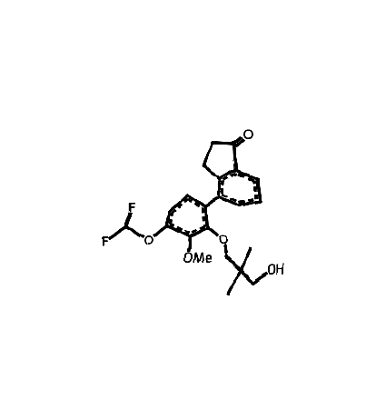 COc1c(OC(F)F)ccc(-c2cccc3c2CCC3=O)c1OCC(C)(C)CO